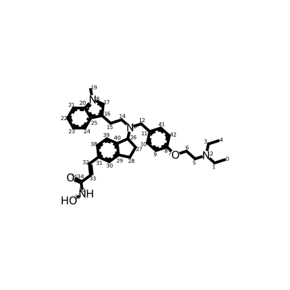 CCN(CC)CCOc1ccc(CN(CCc2cn(C)c3ccccc23)C2CCc3cc(C=CC(=O)NO)ccc32)cc1